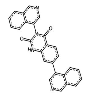 O=c1[nH]c2cc(-c3cncc4ccccc34)ccc2c(=O)n1-c1cncc2ccccc12